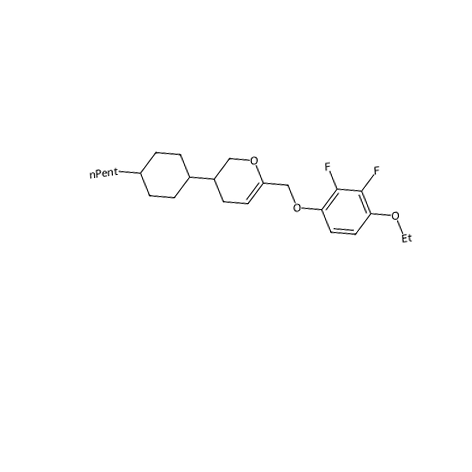 CCCCCC1CCC(C2CC=C(COc3ccc(OCC)c(F)c3F)OC2)CC1